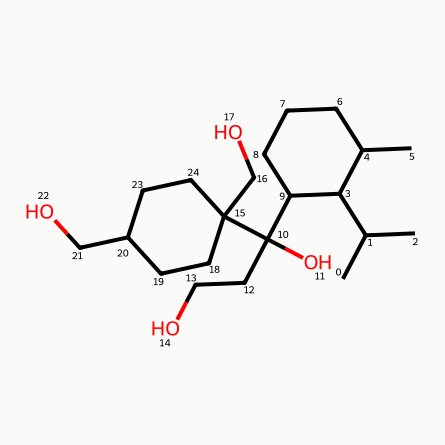 CC(C)C1C(C)CCCC1C(O)(CCO)C1(CO)CCC(CO)CC1